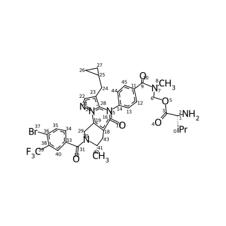 CC(C)[C@@H](N)C(=O)OCN(C)C(=O)c1ccc(-n2c(=O)c3c(n4ncc(CC5CC5)c24)CN(C(=O)c2ccc(Br)c(C(F)(F)F)c2)[C@@H](C)C3)cc1